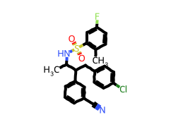 Cc1ccc(F)cc1S(=O)(=O)NC(C)C(Cc1ccc(Cl)cc1)c1cccc(C#N)c1